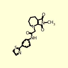 CN1C(=O)C2=C(C1=O)N(CC(=O)Nc1ccc(-c3nccs3)cc1)CCCC2